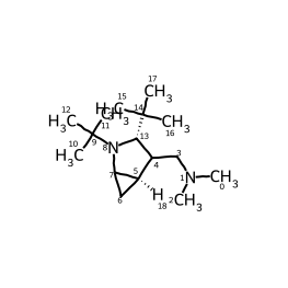 CN(C)CC1[C@H]2CC2N(C(C)(C)C)[C@@H]1C(C)(C)C